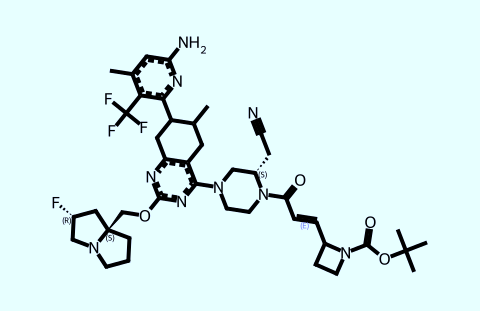 Cc1cc(N)nc(C2Cc3nc(OC[C@@]45CCCN4C[C@H](F)C5)nc(N4CCN(C(=O)/C=C/C5CCN5C(=O)OC(C)(C)C)[C@@H](CC#N)C4)c3CC2C)c1C(F)(F)F